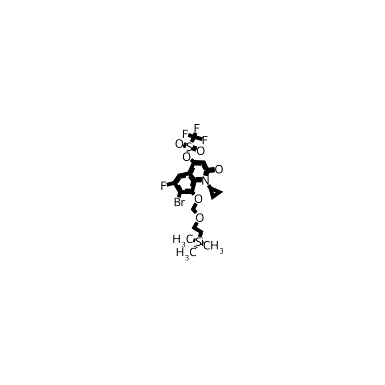 C[Si](C)(C)CCOCOc1c(Br)c(F)cc2c(OS(=O)(=O)C(F)(F)F)cc(=O)n(C3CC3)c12